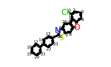 Clc1cccc2oc3cc4sc(-c5ccc(-c6ccccc6)cc5)nc4cc3c12